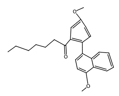 CCCCCCC(=O)c1cc(OC)ccc1-c1ccc(OC)c2ccccc12